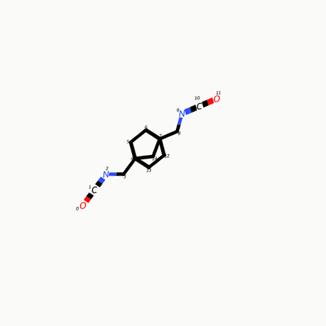 O=C=NCC12CCC(CN=C=O)(CC1)C2